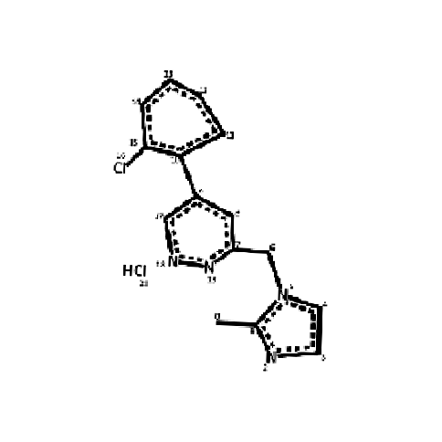 Cc1nccn1Cc1cc(-c2ccccc2Cl)cnn1.Cl